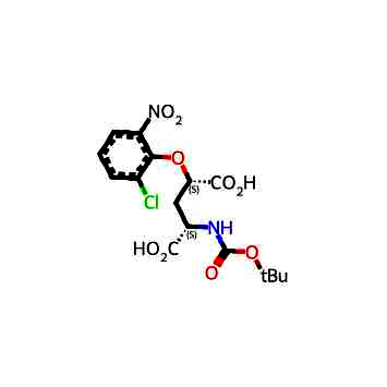 CC(C)(C)OC(=O)N[C@@H](C[C@H](Oc1c(Cl)cccc1[N+](=O)[O-])C(=O)O)C(=O)O